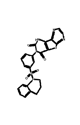 O=c1[nH]c2c(sc3nccnc32)c(=O)n1-c1cccc(S(=O)(=O)N2CCCc3ccccc32)c1